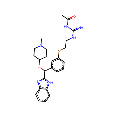 CC(=O)NC(=N)NCCSc1cccc(C(OC2CCN(C)CC2)c2nc3ccccc3[nH]2)c1